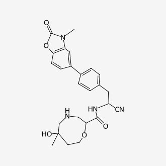 Cn1c(=O)oc2ccc(-c3ccc(CC(C#N)NC(=O)C4CNCC(C)(O)CCO4)cc3)cc21